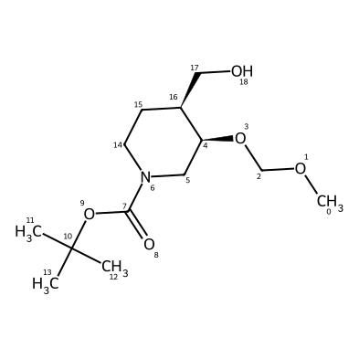 COCO[C@H]1CN(C(=O)OC(C)(C)C)CC[C@H]1CO